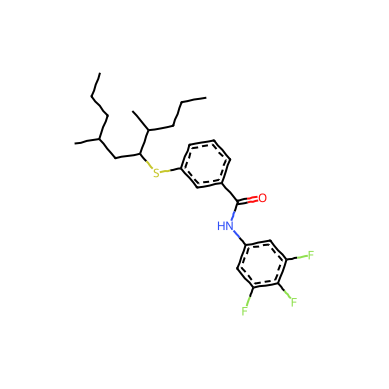 CCCC(C)CC(Sc1cccc(C(=O)Nc2cc(F)c(F)c(F)c2)c1)C(C)CCC